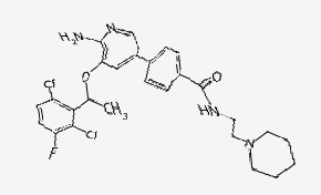 CC(Oc1cc(-c2ccc(C(=O)NCCN3CCCCC3)cc2)cnc1N)c1c(Cl)ccc(F)c1Cl